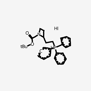 CC(C)(C)OC(=O)N1CCC1CC[PH](c1ccccc1)(c1ccccc1)c1ccccc1.I